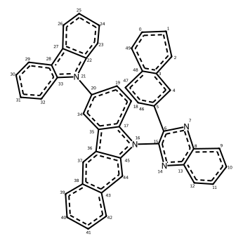 c1ccc2cc(-c3nc4ccccc4nc3-n3c4ccc(-n5c6ccccc6c6ccccc65)cc4c4cc5ccccc5cc43)ccc2c1